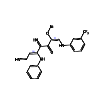 CCO/C(=C/Nc1cccc(C(F)(F)F)c1)C(=O)C(=N)/C(=C/C=N)Nc1ccccc1